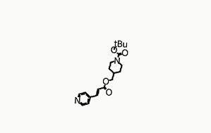 CC(C)(C)OC(=O)N1CCC(COC(=O)C=Cc2ccncc2)CC1